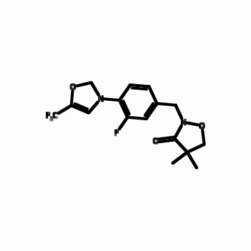 CC1(C)CON(Cc2ccc(N3C=C(C(F)(F)F)OC3)c(F)c2)C1=O